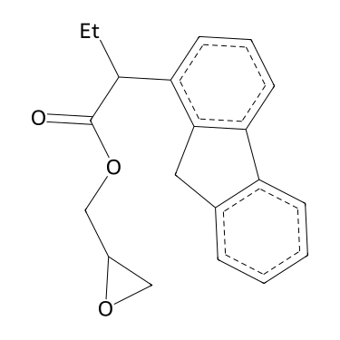 CCC(C(=O)OCC1CO1)c1cccc2c1Cc1ccccc1-2